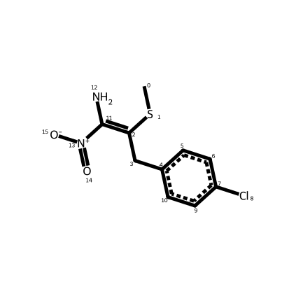 CSC(Cc1ccc(Cl)cc1)=C(N)[N+](=O)[O-]